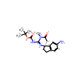 CN1C(=O)C[C@]2(CCc3ccc(N)cc32)N=C1NC(=O)OC(C)(C)C